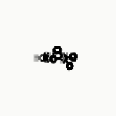 OB(O)Oc1ccc(-c2nc(-c3ccccc3)c(-c3ccccc3)nc2-c2ccccc2)cc1